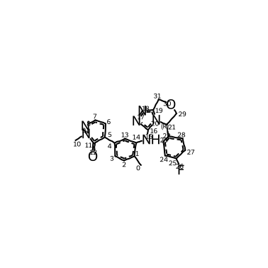 Cc1ccc(-c2ccnn(C)c2=O)cc1Nc1nnc2n1[C@H](c1ccc(F)cc1)COC2